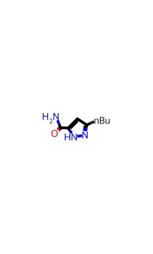 CCCCc1cc(C(N)=O)[nH]n1